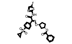 O=C(Nc1ncc(F)s1)/C(=N/O[C@@H]1CC[C@H](OC(=O)c2ccccc2)C1)c1ccc(S(=O)(=O)C2CC2)cc1